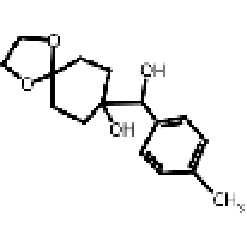 Cc1ccc(C(O)C2(O)CCC3(CC2)OCCO3)cc1